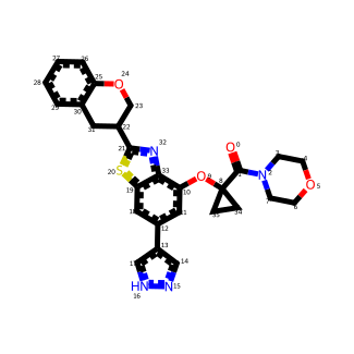 O=C(N1CCOCC1)C1(Oc2cc(-c3cn[nH]c3)cc3sc(C4COc5ccccc5C4)nc23)CC1